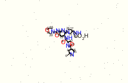 Cc1cc(-c2nc(C(=O)Nc3cc4oc(N5CCOCC5)nc4nc3N3CC[C@@H](NC(=O)O)C3)co2)ccn1